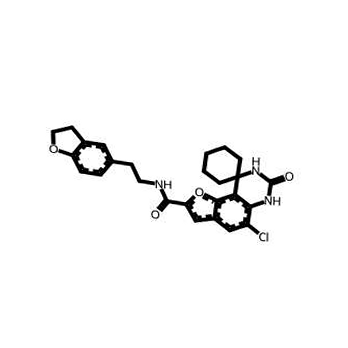 O=C1Nc2c(Cl)cc3cc(C(=O)NCCc4ccc5c(c4)CCO5)oc3c2C2(CCCCC2)N1